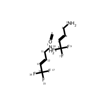 C=O.NCC=CC(F)(F)F.NCC=CC(F)(F)F